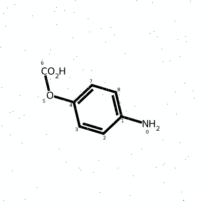 Nc1ccc(OC(=O)O)cc1